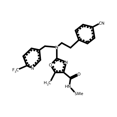 CSNC(=O)c1nc(N(CCc2ccc(C#N)cc2)Cc2ccc(C(F)(F)F)nc2)oc1C